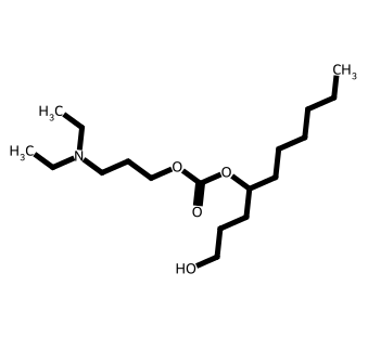 CCCCCCC(CCCO)OC(=O)OCCCN(CC)CC